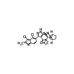 Cn1nc2ccc(-c3n[nH]c4nc(N5[C@H]6CC[C@@H]5[C@H](N)C6)n(C)c(=O)c34)c(Cl)c2c1Cl